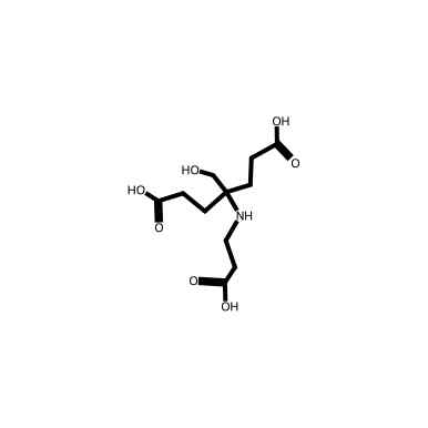 O=C(O)CCNC(CO)(CCC(=O)O)CCC(=O)O